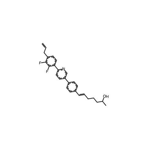 C=CCc1ccc(-c2ccc(-c3ccc(/C=C/CCCC(C)O)cc3)cn2)c(F)c1F